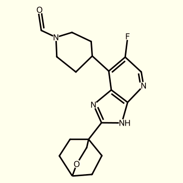 O=CN1CCC(c2c(F)cnc3[nH]c(C45CCC(CC4)OC5)nc23)CC1